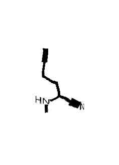 C#CCCC(C#N)NC